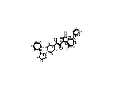 O=C(C(=O)N1CCN(N2CCCC2c2ccccc2)CC1)c1c[nH]c2c(-n3ccnn3)ncc(F)c12